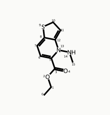 CCOC(=O)C1=CC=C2SCC=C2N1NC